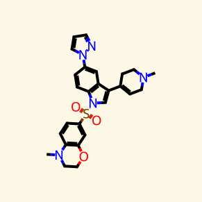 CN1CC=C(c2cn(S(=O)(=O)c3ccc4c(c3)OCCN4C)c3ccc(-n4cccn4)cc23)CC1